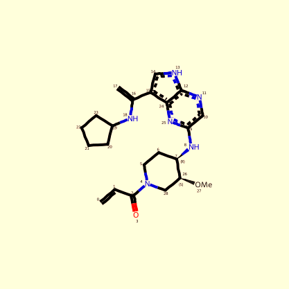 C=CC(=O)N1CC[C@@H](Nc2cnc3[nH]cc(C(=C)NC4CCCC4)c3n2)[C@@H](OC)C1